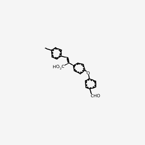 Cc1ccc(/C=C(\C(=O)O)c2ccc(Oc3ccc(C=O)cc3)cc2)cc1